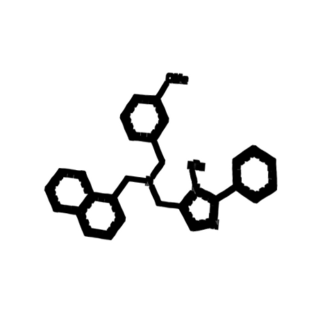 CCCCn1c(CN(Cc2cccc(OC)c2)Cc2cccc3ccccc23)cnc1-c1ccccc1